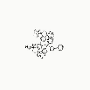 CC1(C)CCC(C)(C)c2cc3c(cc21)-c1cc2c(cc1C3C(C1=CC(c3ccccc3)=CC1)(c1ccccc1)c1ccccc1)C(C)(C)CCC2(C)C